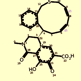 CN1C[C@H](C2C/C=C\C=C/CSCc3ccccc32)n2cc(C(=O)O)c(=O)c(O)c2C1=O